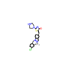 O=C1N=C(N2CCCNCC2)S/C1=C\c1ccc2c(cnn2Cc2ccc(Cl)cc2C(F)(F)F)c1